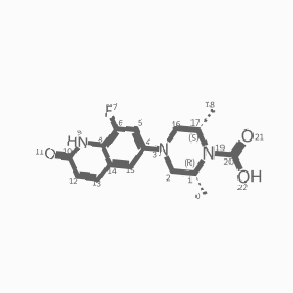 C[C@@H]1CN(c2cc(F)c3[nH]c(=O)ccc3c2)C[C@H](C)N1C(=O)O